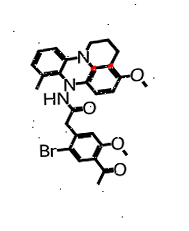 COc1ccc(N(NC(=O)Cc2cc(OC)c(C(C)=O)cc2Br)c2c(C)cccc2N2CCCCC2)cc1